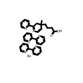 CC1(CCCC(=O)O)C=CN=C(c2ccccn2)C1.[Ru].c1ccc(-c2ccccn2)nc1.c1ccc(-c2ccccn2)nc1